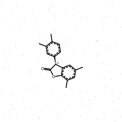 Cc1cc(C)c2c(c1)[C@H](c1ccc(C)c(C)c1)C(=O)O2